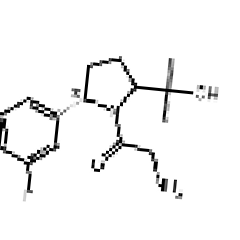 CC(C)(O)C1CC[C@@H](c2cccc(F)c2)N1C(=O)CN